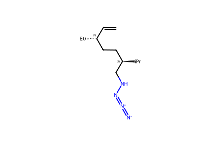 C=C[C@@H](CC)CC[C@H](CNN=[N+]=[N-])C(C)C